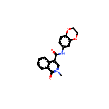 Cn1cc(C(=O)Nc2ccc3c(c2)OCCO3)c2ccccc2c1=O